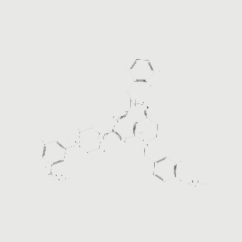 COc1ccc(CN2CCc3nn(Cc4ccccc4)c4nc(N5CCN(c6cccc(OC)c6)CC5)nc2c34)cc1